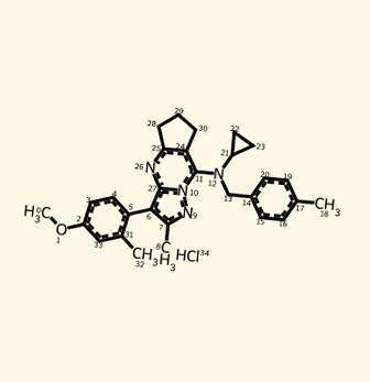 COc1ccc(-c2c(C)nn3c(N(Cc4ccc(C)cc4)C4CC4)c4c(nc23)CCC4)c(C)c1.Cl